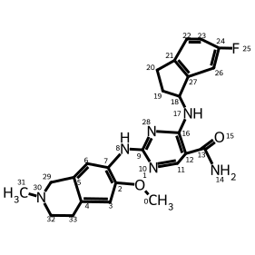 COc1cc2c(cc1Nc1ncc(C(N)=O)c(NC3CCc4ccc(F)cc43)n1)CN(C)CC2